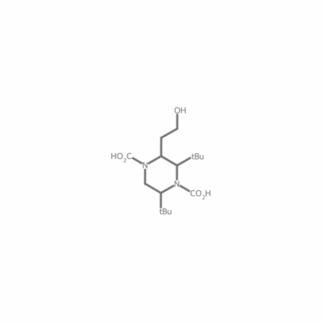 CC(C)(C)C1CN(C(=O)O)C(CCO)C(C(C)(C)C)N1C(=O)O